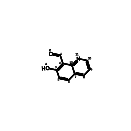 O=Cc1c(O)ccc2cccnc12